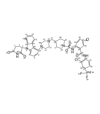 O=C1CCC(n2c3cccc(N4CCN(CC5CCN(S(=O)(=O)Nc6ccc(Cl)cc6C(=O)Nc6ccc(C(F)(F)F)cc6Cl)CC5)CC4)c3c3cccnc32)C(=O)N1